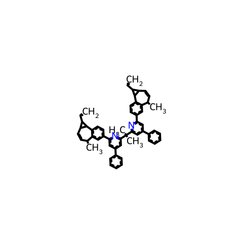 C=CC1C2C=CC(C)c3cc(-c4cc(-c5ccccc5)cc(C(C)(C)c5cc(-c6ccccc6)cc(-c6ccc7c(c6)C(C)C=CC6C(C=C)C76)n5)n4)ccc3C12